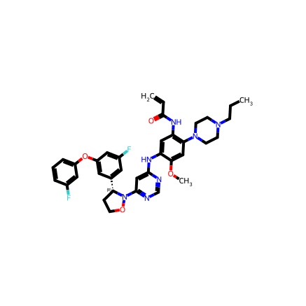 C=CC(=O)Nc1cc(Nc2cc(N3OCC[C@@H]3c3cc(F)cc(Oc4cccc(F)c4)c3)ncn2)c(OC)cc1N1CCN(CCC)CC1